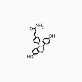 NC(=O)C=Cc1ccc(C2c3ccc(O)cc3CCC2c2ccc(O)cc2)cc1